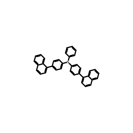 c1ccc(N(c2ccc(-c3cccc4ccccc34)cc2)c2ccc(-c3cccc4ccccc34)cc2)cc1